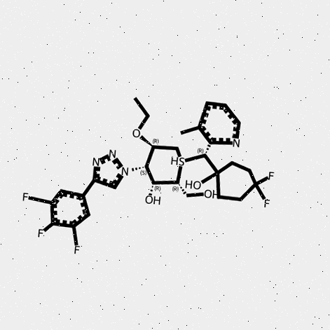 CCO[C@H]1C[SH]([C@H](c2ncccc2C)C2(O)CCC(F)(F)CC2)[C@H](CO)[C@H](O)[C@@H]1n1cc(-c2cc(F)c(F)c(F)c2)nn1